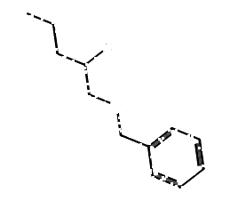 CCCC(N)COCc1ccccc1